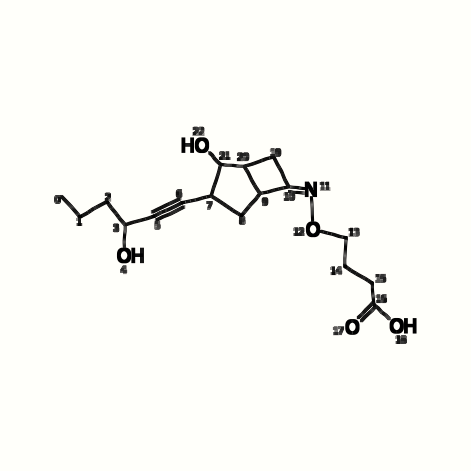 CCCC(O)C#CC1CC2C(=NOCCCC(=O)O)CC2C1O